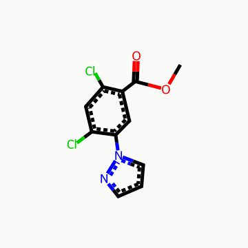 COC(=O)c1cc(-n2cccn2)c(Cl)cc1Cl